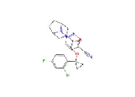 N#Cc1ccc(N2C3CCC2CN(C(=O)COC2(c4ccc(F)cc4Br)CC2)C3)nc1